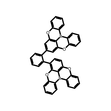 c1ccc2c(c1)Oc1cc(-c3ccccc3-c3ccc4c5c3Oc3ccccc3B5c3ccccc3O4)cc3c1B2c1ccccc1O3